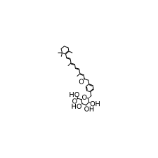 CC1=C(/C=C/C(C)=C/C=C/C(C)=C/C(=O)Cc2ccc(C[C@@H]3OC(C(=O)O)[C@@H](O)[C@H](O)C3O)cc2)C(C)(C)CCC1